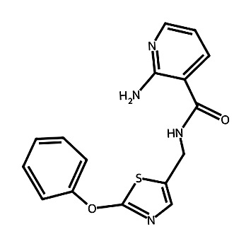 Nc1ncccc1C(=O)NCc1cnc(Oc2ccccc2)s1